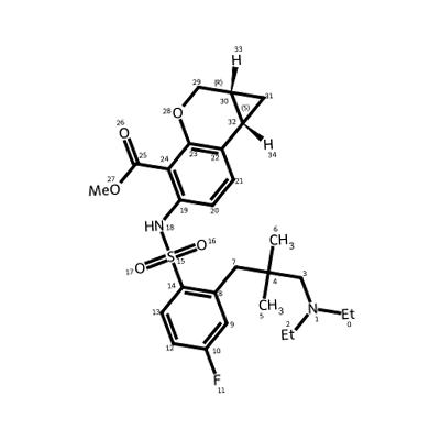 CCN(CC)CC(C)(C)Cc1cc(F)ccc1S(=O)(=O)Nc1ccc2c(c1C(=O)OC)OC[C@@H]1C[C@H]21